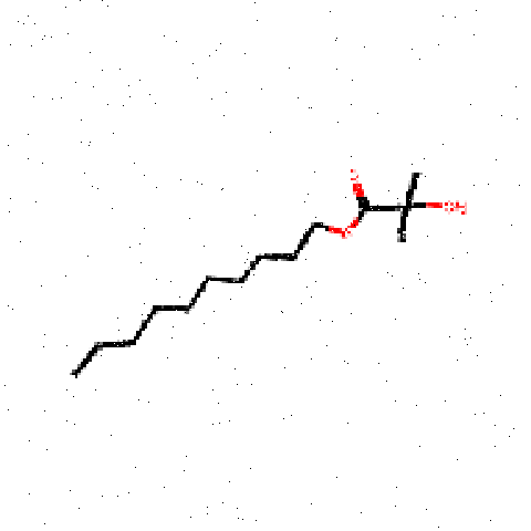 CCCCCCCCCCOC(=O)C(C)(C)O